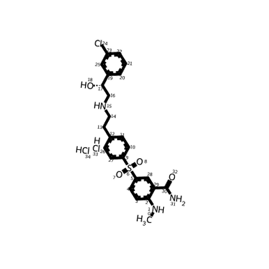 CNc1ccc(S(=O)(=O)c2ccc(CCNC[C@H](O)c3cccc(Cl)c3)cc2)cc1C(N)=O.Cl.Cl